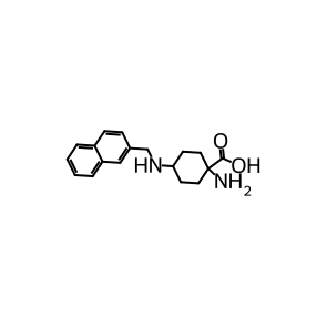 NC1(C(=O)O)CCC(NCc2ccc3ccccc3c2)CC1